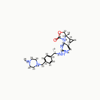 C[C@H](Nc1nccc(N2C(=O)OC[C@]2(C)C2CC2)n1)c1ccc(CN2CCN(C)CC2)cc1